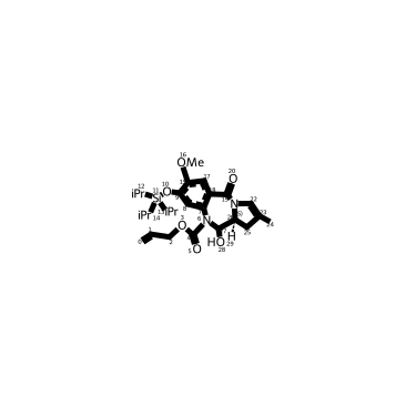 C=CCOC(=O)N1c2cc(O[Si](C(C)C)(C(C)C)C(C)C)c(OC)cc2C(=O)N2C=C(C)C[C@H]2C1O